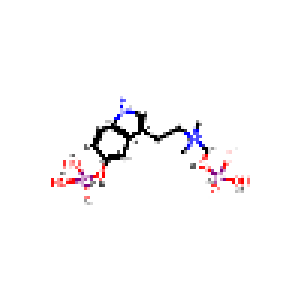 C[N+](C)(CCc1c[nH]c2ccc(OP(=O)(O)O)cc12)COP(=O)([O-])O